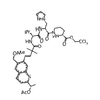 COCc1cc2ccc([C@@H](C)OC(C)=O)nc2cc1/C=C/C(C)(C)C(=O)N[C@H](C(=O)NC(Cn1cccn1)C(=O)N1CCC[C@@H](C(=O)OCC(Cl)(Cl)Cl)N1)C(C)C